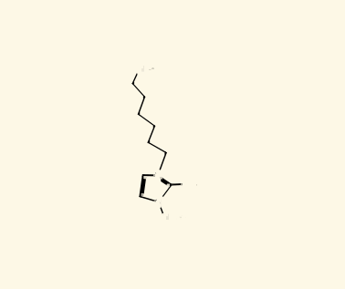 CCCCCCCCCCCCCCCC[n+]1ccn(CCCCCCC)c1CCCCCCC